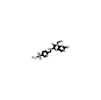 CC(C)Cn1c(=O)c(NCc2ccc(S(N)(=O)=O)cn2)nc2cnc(Cl)nc21